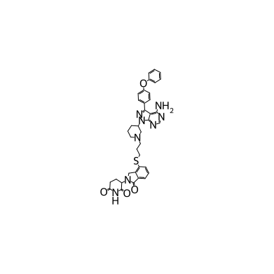 Nc1ncnc2c1c(-c1ccc(Oc3ccccc3)cc1)nn2C1CCCN(CCCSc2cccc3c2CN(C2CCC(=O)NC2=O)C3=O)C1